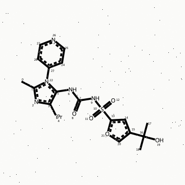 Cc1nc(C(C)C)c(NC(=O)NS(=O)(=O)c2cc(C(C)(C)O)co2)n1-c1ccncc1